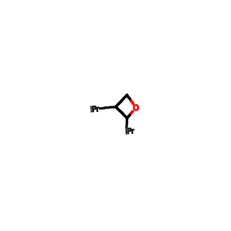 CC(C)C1COC1C(C)C